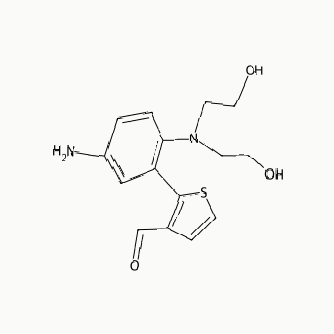 Nc1ccc(N(CCO)CCO)c(-c2sccc2C=O)c1